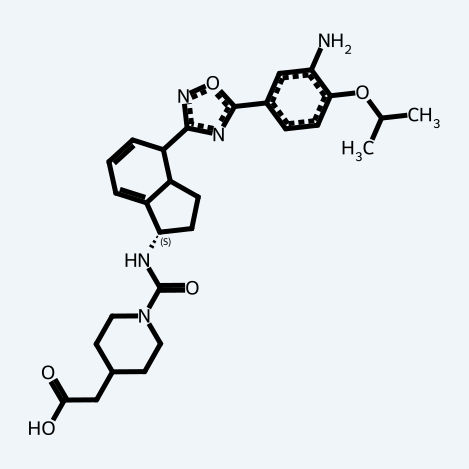 CC(C)Oc1ccc(-c2nc(C3C=CC=C4C3CC[C@@H]4NC(=O)N3CCC(CC(=O)O)CC3)no2)cc1N